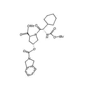 COC(=O)[C@@H]1C[C@@H](OC(=O)N2Cc3ccccc3C2)CN1C(=O)[C@@H](NC(=O)OC(C)(C)C)C1CCCCC1